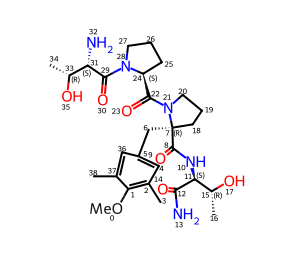 COc1c(C)cc(C[C@@]2(C(=O)N[C@H](C(N)=O)[C@@H](C)O)CCCN2C(=O)[C@@H]2CCCN2C(=O)[C@@H](N)[C@@H](C)O)cc1C